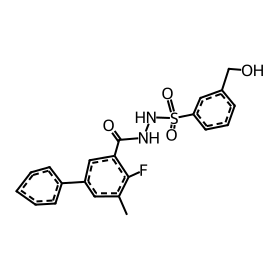 Cc1cc(-c2ccccc2)cc(C(=O)NNS(=O)(=O)c2cccc(CO)c2)c1F